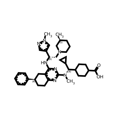 C[C@H]1CCCN(C[C@H](Nc2nc(N(C)[C@@H](C3CCC(C(=O)O)CC3)C3CC3)nc3c2C[C@H](c2ccccc2)CC3)c2cnn(C)c2)C1